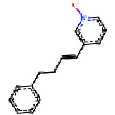 [O-][n+]1cccc([C]=CCCc2ccccc2)c1